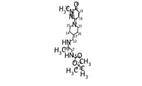 C[C@@H](CNC(=O)OC(C)(C)C)NCC1CCN(c2ccc(=O)n(C)n2)CC1